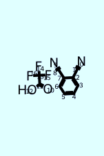 N#Cc1ccccc1C#N.O=C(O)C(F)(F)F